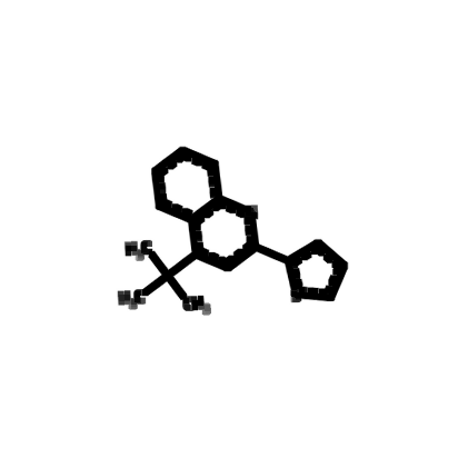 CC(C)(C)c1cc(-c2cccs2)nc2ccccc12